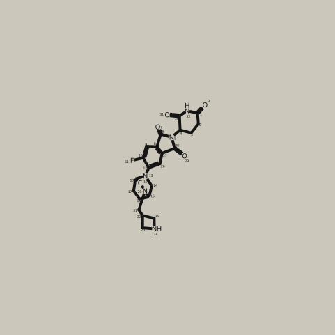 O=C1CCC(N2C(=O)c3cc(F)c(N4CC5CCC4CN5CC4CNC4)cc3C2=O)C(=O)N1